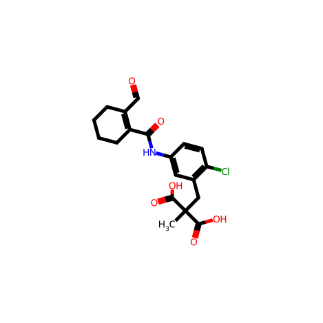 CC(Cc1cc(NC(=O)C2=C(C=O)CCCC2)ccc1Cl)(C(=O)O)C(=O)O